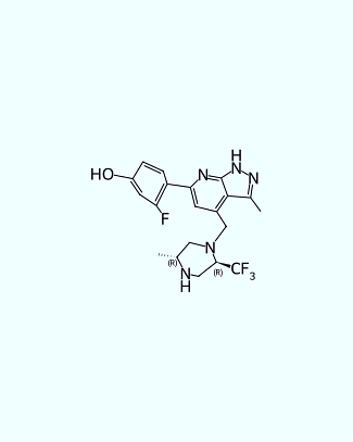 Cc1n[nH]c2nc(-c3ccc(O)cc3F)cc(CN3C[C@@H](C)NC[C@@H]3C(F)(F)F)c12